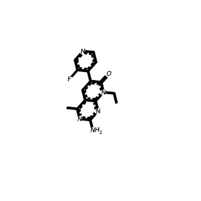 CCn1c(=O)c(-c2ccncc2F)cc2c(C)nc(N)nc21